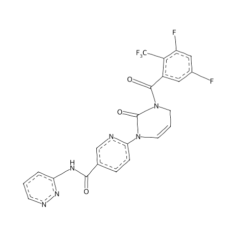 O=C(Nc1cccnn1)c1ccc(N2C=CCN(C(=O)c3cc(F)cc(F)c3C(F)(F)F)C2=O)nc1